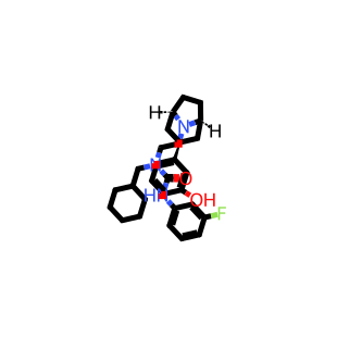 O=C(Nc1cccc(F)c1)N(CCN1[C@@H]2CC[C@H]1C[C@@H](c1cccc(O)c1)C2)CC1CCCCC1